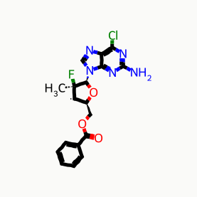 C[C@@]1(F)[CH][C@H](COC(=O)c2ccccc2)O[C@H]1n1cnc2c(Cl)nc(N)nc21